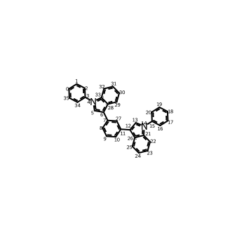 c1ccc(-n2cc(-c3cccc(-c4cn(-c5ccccc5)c5ccccc45)c3)c3ccccc32)cc1